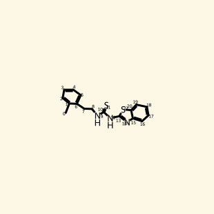 Cc1ccccc1CCNC(=S)Nc1nc2ccccc2s1